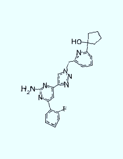 Nc1nc(-c2cn(Cc3cccc(C4(O)CCCC4)n3)nn2)cc(-c2ccccc2F)n1